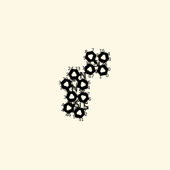 c1ccc([Si](c2ccccc2)(c2ccccc2)c2ccc(-n3c4ccccc4c4c(-n5c6ccccc6c6ccc([Si]7(c8ccccc8)c8ccccc8Sc8ccccc87)cc65)cccc43)cc2)cc1